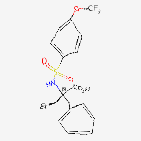 CC[C@@](NS(=O)(=O)c1ccc(OC(F)(F)F)cc1)(C(=O)O)c1ccccc1